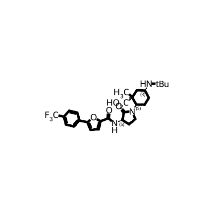 CC(C)(C)N[C@@H]1CC[C@H](N2CC[C@H](NC(=O)c3ccc(-c4ccc(C(F)(F)F)cc4)o3)C2=O)[C@](C)(C(=O)O)C1